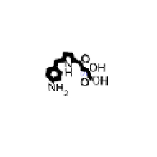 Nc1ccc(Cc2ccc(C(=O)/C=C(\O)C(=O)O)[nH]2)cc1